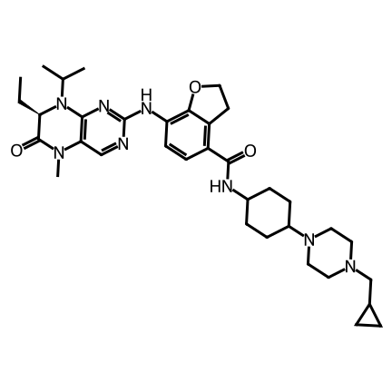 CC[C@@H]1C(=O)N(C)c2cnc(Nc3ccc(C(=O)NC4CCC(N5CCN(CC6CC6)CC5)CC4)c4c3OCC4)nc2N1C(C)C